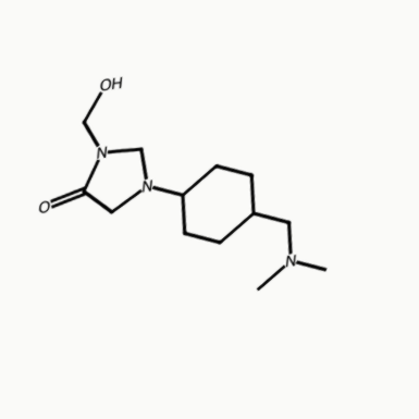 CN(C)CC1CCC(N2CC(=O)N(CO)C2)CC1